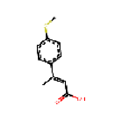 CSc1ccc(C(C)=CC(=O)O)cc1